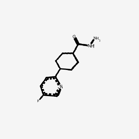 NNC(=O)C1CCC(c2ccc(F)cn2)CC1